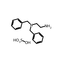 NCCN(Cc1ccccc1)Cc1ccccc1.O=S(=O)(O)O